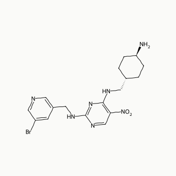 N[C@H]1CC[C@H](CNc2nc(NCc3cncc(Br)c3)ncc2[N+](=O)[O-])CC1